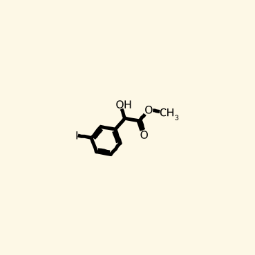 COC(=O)C(O)c1cccc(I)c1